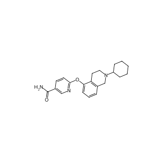 NC(=O)c1ccc(Oc2cccc3c2CCN(C2CCCCC2)C3)nc1